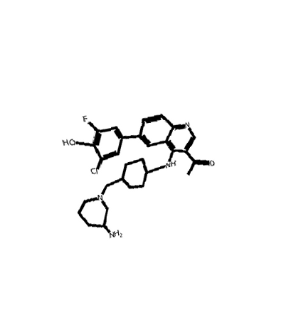 CC(=O)c1cnc2ccc(-c3cc(F)c(O)c(Cl)c3)cc2c1NC1CCC(CN2CCCC(N)C2)CC1